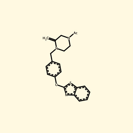 C=C1CN(C(C)=O)CCN1Cc1ccc(Oc2nc3ccccc3s2)cc1